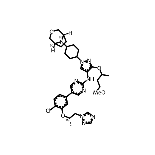 COCCC(C)Oc1nn(C2CCC(N3[C@@H]4CC[C@H]3COC4)CC2)cc1Nc1ncc(-c2ccc(Cl)c(O[C@@H](C)Cn3cncn3)c2)cn1